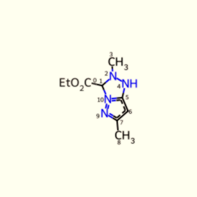 CCOC(=O)C1N(C)Nc2cc(C)nn21